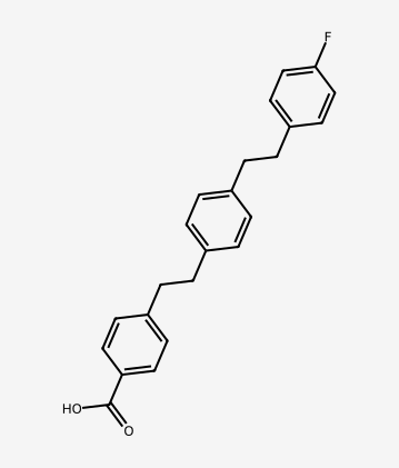 O=C(O)c1ccc(CCc2ccc(CCc3ccc(F)cc3)cc2)cc1